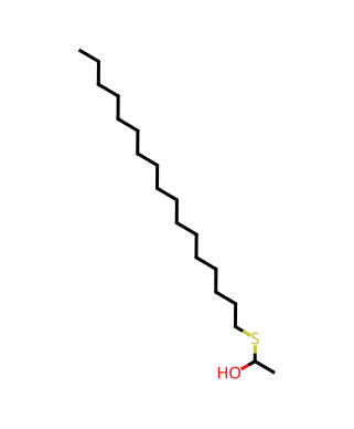 CCCCCCCCCCCCCCCCCSC(C)O